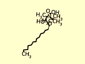 CCCCCCCCCCCCC[C@@H]1O[C@H]1[C@H](O)[C@H](C)N(C(=O)O)C(C)(C)C